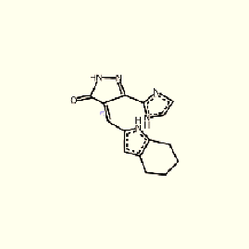 O=C1NN=C(c2ncc[nH]2)/C1=C\c1cc2c([nH]1)CCCC2